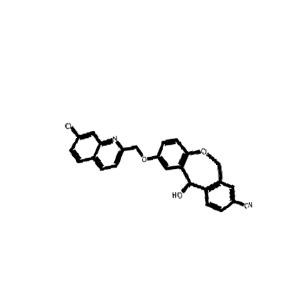 N#Cc1ccc2c(c1)COc1ccc(OCc3ccc4ccc(Cl)cc4n3)cc1C2O